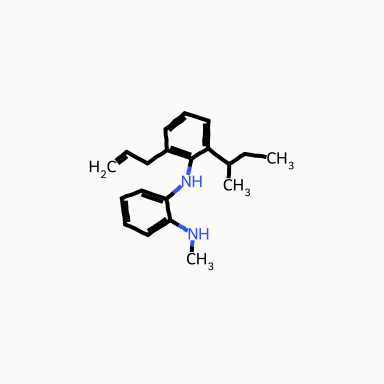 C=CCc1cccc(C(C)CC)c1Nc1ccccc1NC